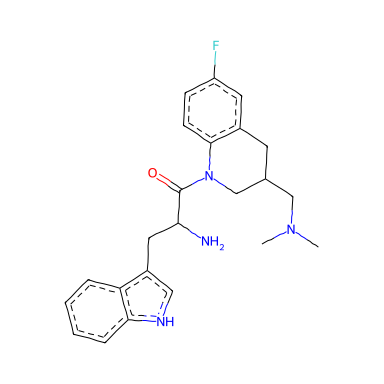 CN(C)CC1Cc2cc(F)ccc2N(C(=O)C(N)Cc2c[nH]c3ccccc23)C1